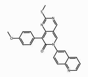 COc1ccc(-c2c(=O)n(-c3ccc4ncccc4c3)cc3cnc(SC)nc23)cc1